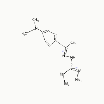 C/C(=N\N/C(=N/N)NN)c1ccc(N(C)C)cc1